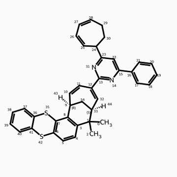 CC1(C)c2ccc3c(c2[C@H]2C=CC(c4nc(-c5ccccc5)cc(C5C=CC=CCC5)n4)=C[C@@H]1C2)Sc1ccccc1S3